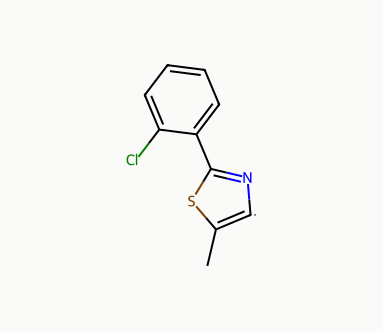 Cc1[c]nc(-c2ccccc2Cl)s1